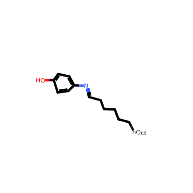 CCCCCCCCCCCCCC=Nc1ccc(O)cc1